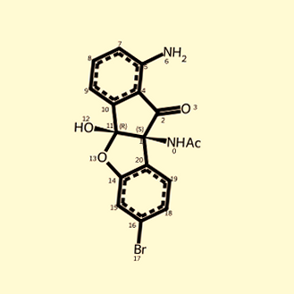 CC(=O)N[C@]12C(=O)c3c(N)cccc3[C@@]1(O)Oc1cc(Br)ccc12